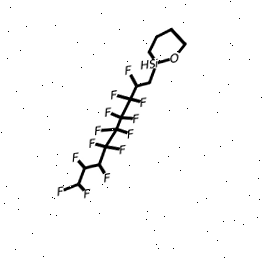 FC(F)C(F)C(F)C(F)(F)C(F)(F)C(F)(F)C(F)(F)C(F)C[SiH]1CCCCO1